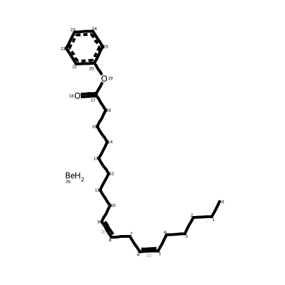 CCCCC/C=C\C/C=C\CCCCCCCC(=O)Oc1ccccc1.[BeH2]